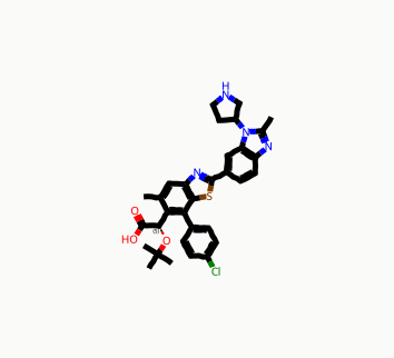 Cc1cc2nc(-c3ccc4nc(C)n(C5CCNC5)c4c3)sc2c(-c2ccc(Cl)cc2)c1[C@H](OC(C)(C)C)C(=O)O